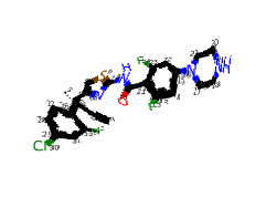 C#C[C@](C)(c1csc(NC(=O)c2c(F)cc(N3CCNCC3)cc2F)n1)c1ccc(Cl)cc1F